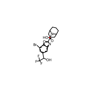 O=C(O)N1C2CCCC1CN(c1nc3cc(C(O)C(F)(F)F)cc(Br)c3o1)C2